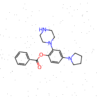 O=C(Oc1ccc(N2CCCC2)cc1N1CCNCC1)c1ccccc1